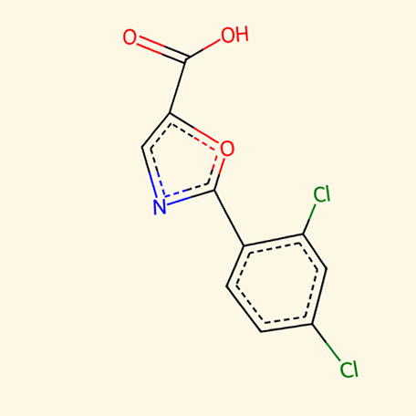 O=C(O)c1cnc(-c2ccc(Cl)cc2Cl)o1